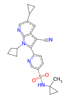 CC1(NS(=O)(=O)c2ccc(-c3c(C#N)c4cc(C5CC5)cnc4n3C3CCC3)nc2)CC1